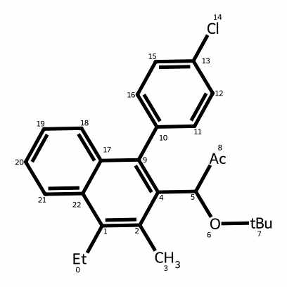 CCc1c(C)c(C(OC(C)(C)C)C(C)=O)c(-c2ccc(Cl)cc2)c2ccccc12